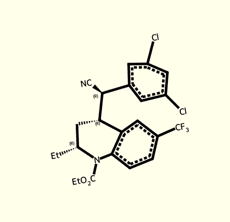 CCOC(=O)N1c2ccc(C(F)(F)F)cc2[C@@H]([C@@H](C#N)c2cc(Cl)cc(Cl)c2)C[C@H]1CC